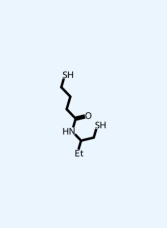 CCC(CS)NC(=O)CCCS